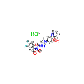 Cl.O=C(N[C@@H]1CCN([C@H]2CC[C@](O)(c3ccccn3)CC2)C1)N1C(=O)OC[C@@H]1c1ccc(F)c(F)c1